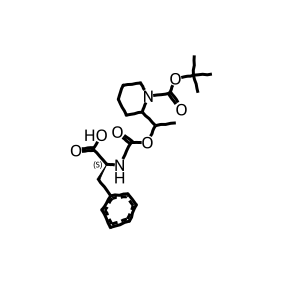 CC(OC(=O)N[C@@H](Cc1ccccc1)C(=O)O)C1CCCCN1C(=O)OC(C)(C)C